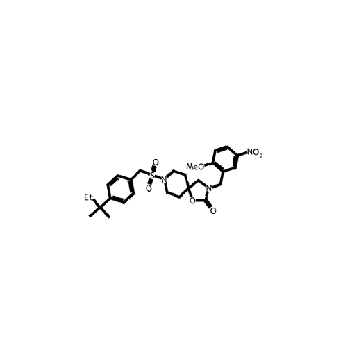 CCC(C)(C)c1ccc(CS(=O)(=O)N2CCC3(CC2)CN(Cc2cc([N+](=O)[O-])ccc2OC)C(=O)O3)cc1